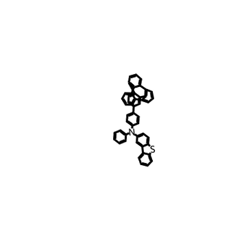 c1ccc(N(c2ccc(-c3ccc4c(c3)-c3c5cccc3-c3cccc-4c3-c3ccccc3-5)cc2)c2ccc3sc4ccccc4c3c2)cc1